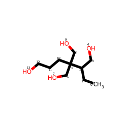 CCC(CO)C(CO)(CO)CCCO